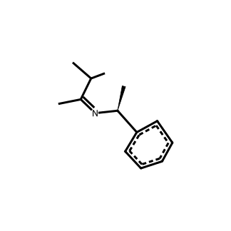 CC(=N[C@@H](C)c1ccccc1)C(C)C